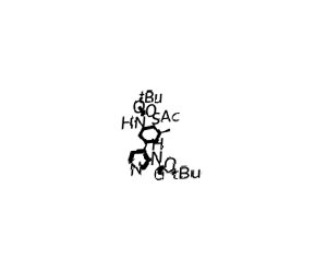 CC(=O)S[C@H]1[C@@H](C)C[C@@H](c2ccncc2NC(=O)OC(C)(C)C)C[C@H]1NC(=O)OC(C)(C)C